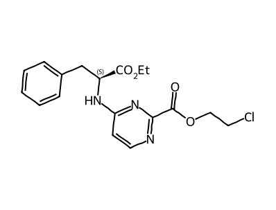 CCOC(=O)[C@H](Cc1ccccc1)Nc1ccnc(C(=O)OCCCl)n1